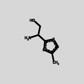 Cc1csc(C(N)CO)n1